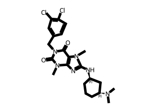 CN(C)[C@@H]1CCC[C@@H](Nc2nc3c(c(=O)n(Cc4ccc(Cl)c(Cl)c4)c(=O)n3C)n2C)C1